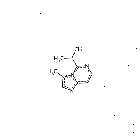 Cc1cnc2ccnc(C(C)C)n12